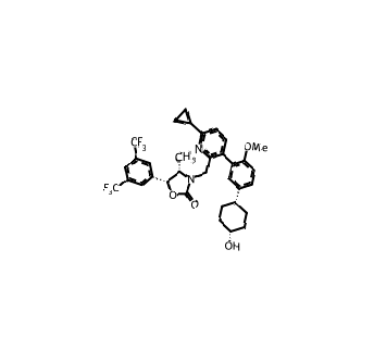 COc1ccc([C@H]2CC[C@@H](O)CC2)cc1-c1ccc(C2CC2)nc1CN1C(=O)O[C@H](c2cc(C(F)(F)F)cc(C(F)(F)F)c2)[C@@H]1C